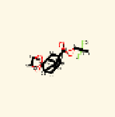 CC(F)(F)COC(=O)C12CC3CC(C1)C1(OCCO1)C(C3)C2